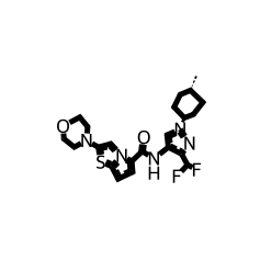 C[C@H]1CC[C@H](n2cc(NC(=O)c3ccc4sc(N5CCOCC5)cn34)c(C(F)F)n2)CC1